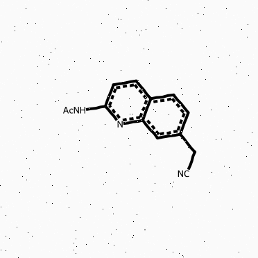 CC(=O)Nc1ccc2ccc(CC#N)cc2n1